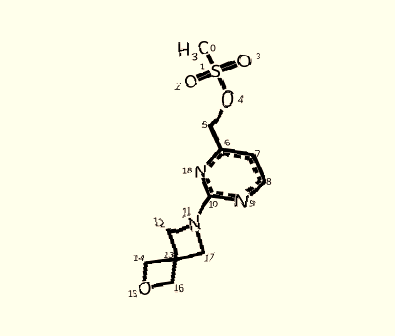 CS(=O)(=O)OCc1ccnc(N2CC3(COC3)C2)n1